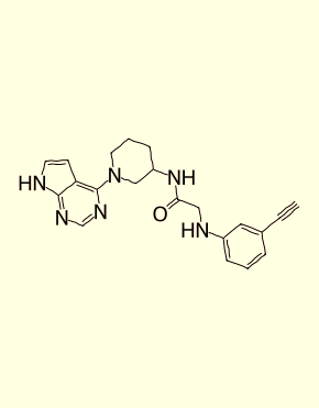 C#Cc1cccc(NCC(=O)NC2CCCN(c3ncnc4[nH]ccc34)C2)c1